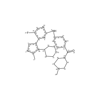 Cc1ncc(-c2nc(Nc3ccc(C(=O)N4CCN(C)CC4)nc3)ncc2F)n1C1CCOCC1